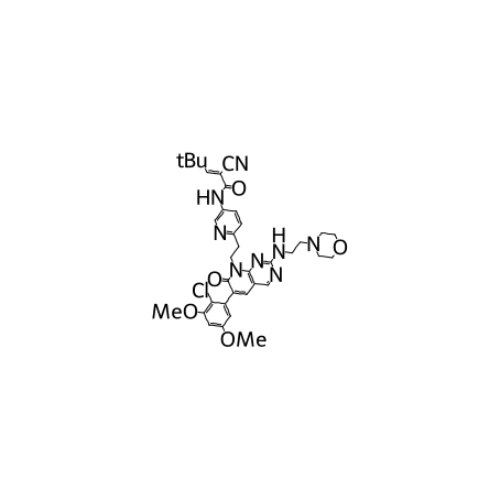 COc1cc(OC)c(Cl)c(-c2cc3cnc(NCCN4CCOCC4)nc3n(CCc3ccc(NC(=O)C(C#N)=CC(C)(C)C)cn3)c2=O)c1